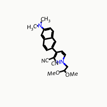 COC(CN/C=C\C(=C(C#N)C#N)c1ccc2cc(N(C)C)ccc2c1)OC